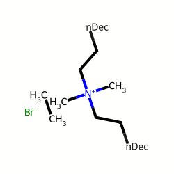 CC.CCCCCCCCCCCC[N+](C)(C)CCCCCCCCCCCC.[Br-]